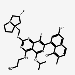 CC(C)Oc1nc(-c2cc(O)cc3ccc(F)c(Cl)c23)c(F)c2nc(OC[C@@]34CCCN3C[C@H](F)C4)nc(NCCO)c12